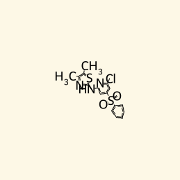 Cc1nc(Nc2cc(S(=O)(=O)c3ccccc3)cc(Cl)n2)sc1C